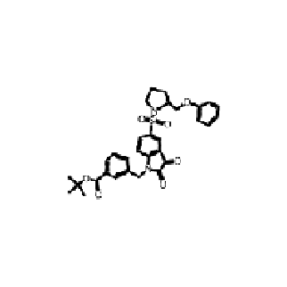 CC(C)(C)OC(=O)c1cccc(CN2C(=O)C(=O)c3cc(S(=O)(=O)N4CCCC4COc4ccccc4)ccc32)c1